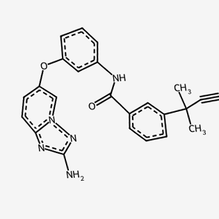 CC(C)(C#N)c1cccc(C(=O)Nc2cccc(Oc3ccc4nc(N)nn4c3)c2)c1